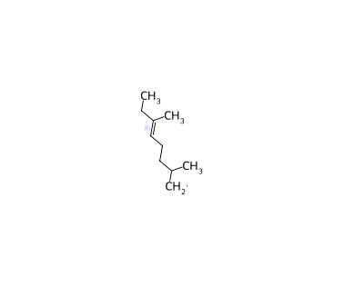 [CH2]C(C)CC/C=C(\C)CC